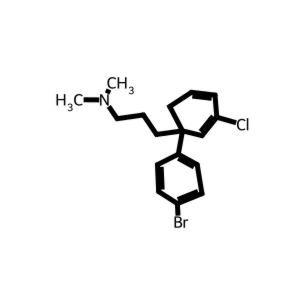 CN(C)CCCC1(c2ccc(Br)cc2)C=C(Cl)C=CC1